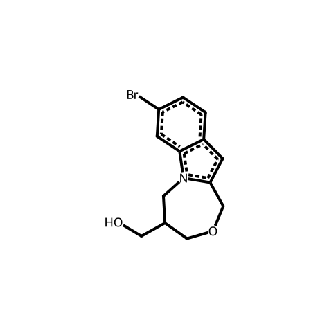 OCC1COCc2cc3ccc(Br)cc3n2C1